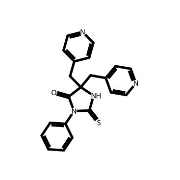 O=C1N(c2ccccc2)C(=S)NC1(Cc1ccncc1)Cc1ccncc1